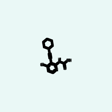 O=C(O)Nc1nccc(Cl)c1C#CC1CCCCC1